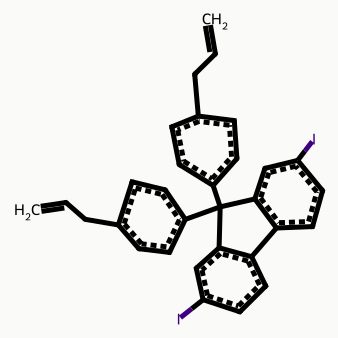 C=CCc1ccc(C2(c3ccc(CC=C)cc3)c3cc(I)ccc3-c3ccc(I)cc32)cc1